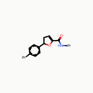 CC(C)NC(=O)C1=CCC(c2ccc(C(C)C)cc2)O1